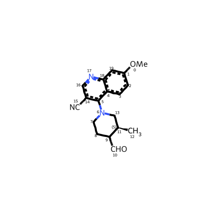 COc1ccc2c(N3CCC(C=O)[C@H](C)C3)c(C#N)cnc2c1